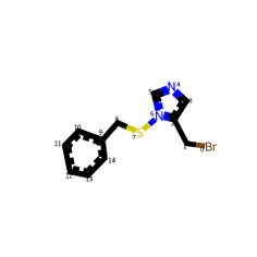 BrCc1cncn1SCc1ccccc1